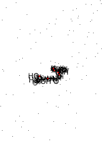 O=C(NCCCCNCC(O)c1ccc(O)c2[nH]c(=O)ccc12)c1cccc(C(=O)N[C@]2(C(=O)OC3CN4CCC3CC4)CCc3ccccc32)c1